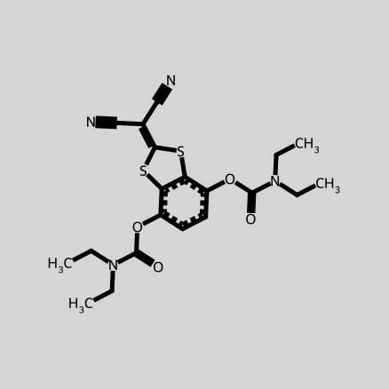 CCN(CC)C(=O)Oc1ccc(OC(=O)N(CC)CC)c2c1SC(=C(C#N)C#N)S2